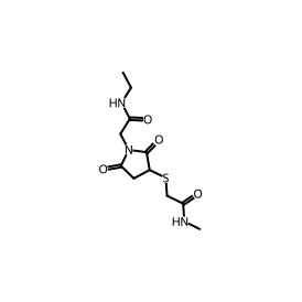 CCNC(=O)CN1C(=O)CC(SCC(=O)NC)C1=O